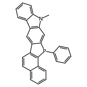 Cn1c2ccccc2c2cc3c4ccc5ccccc5c4p(-c4ccccc4)c3cc21